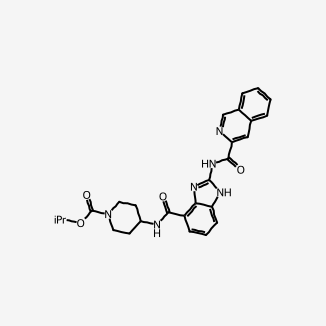 CC(C)OC(=O)N1CCC(NC(=O)c2cccc3[nH]c(NC(=O)c4cc5ccccc5cn4)nc23)CC1